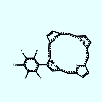 Fc1c(F)c(-c2cc3cc4nc(cc5ccc(cc6nc(cc2[nH]3)C=C6)[nH]5)C=C4)c(F)c(F)c1Br